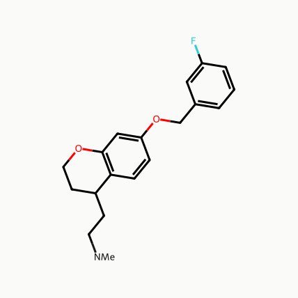 CNCCC1CCOc2cc(OCc3cccc(F)c3)ccc21